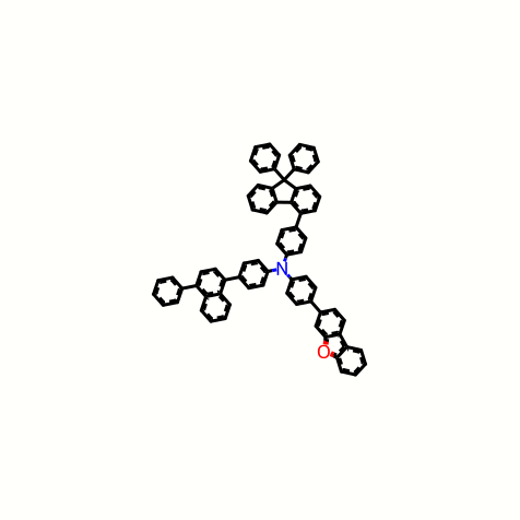 c1ccc(-c2ccc(-c3ccc(N(c4ccc(-c5ccc6c(c5)oc5ccccc56)cc4)c4ccc(-c5cccc6c5-c5ccccc5C6(c5ccccc5)c5ccccc5)cc4)cc3)c3ccccc23)cc1